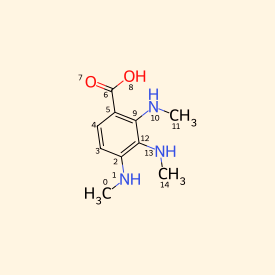 CNc1ccc(C(=O)O)c(NC)c1NC